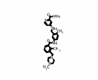 CNC(=O)c1cc(NCc2cc(NC(=O)c3cccc(CN4CCN(C)CC4)c3C(F)(F)F)ccc2C)ccn1